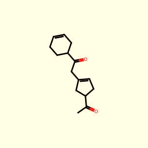 CC(=O)C1CC=C(CC(=O)C2CC=CCC2)C1